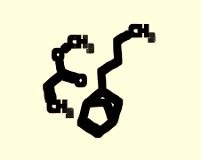 C=CC(=O)OC.CCCCC1CC2C=CC1C2